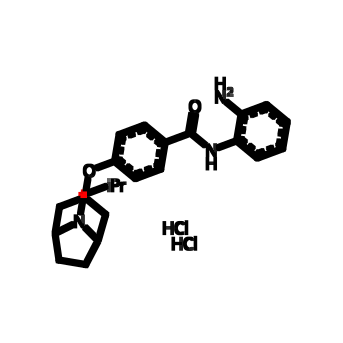 CC(C)CN1C2CCC1CC(Oc1ccc(C(=O)Nc3ccccc3N)cc1)C2.Cl.Cl